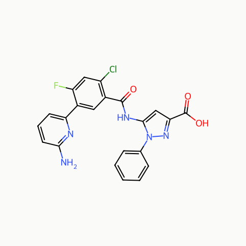 Nc1cccc(-c2cc(C(=O)Nc3cc(C(=O)O)nn3-c3ccccc3)c(Cl)cc2F)n1